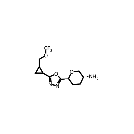 N[C@@H]1CC[C@@H](c2nnc(C3CC3COC(F)(F)F)o2)OC1